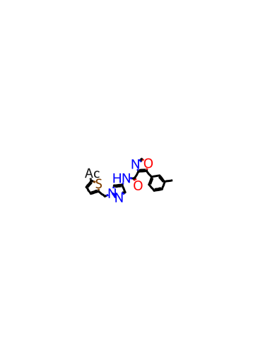 CC(=O)c1ccc(Cn2cc(NC(=O)c3ncoc3-c3cccc(C)c3)cn2)s1